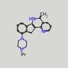 C=C1NC2=C(Cc3c2cccc3N2CCN(C(C)C)CC2)c2ncccc21